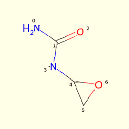 NC(=O)[N]C1CO1